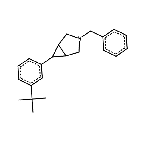 CC(C)(C)c1cccc(C2C3CN(Cc4ccccc4)CC32)c1